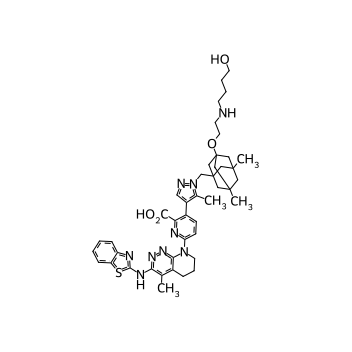 Cc1c(Nc2nc3ccccc3s2)nnc2c1CCCN2c1ccc(-c2cnn(CC34CC5(C)CC(C)(C3)CC(OCCNCCCCO)(C5)C4)c2C)c(C(=O)O)n1